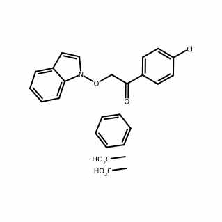 CC(=O)O.CC(=O)O.O=C(COn1ccc2ccccc21)c1ccc(Cl)cc1.c1ccccc1